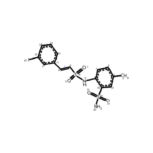 Cc1ccc(NS(=O)(=O)/C=C/c2cccc(I)c2)c(S(N)(=O)=O)c1